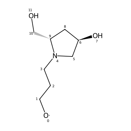 [O]CCCN1C[C@H](O)C[C@H]1CO